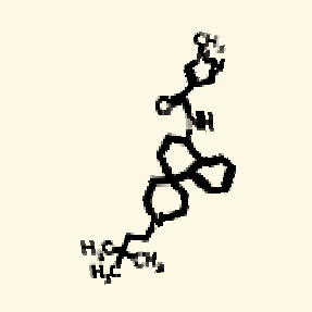 Cn1cc(C(=O)N[C@H]2CCC3(CCN(CCC(C)(C)C)CC3)c3ccccc32)cn1